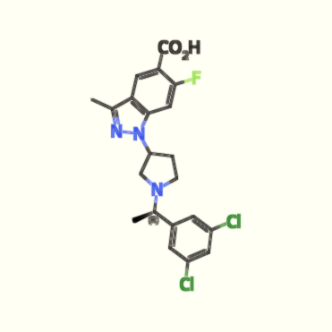 Cc1nn(C2CCN([C@H](C)c3cc(Cl)cc(Cl)c3)C2)c2cc(F)c(C(=O)O)cc12